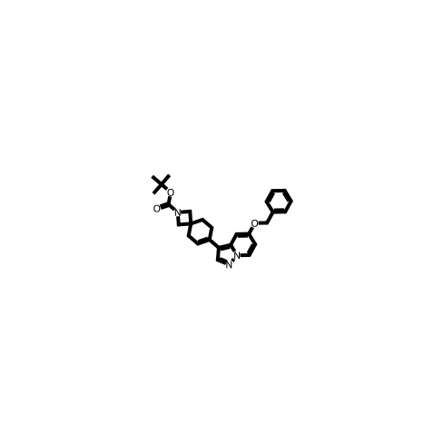 CC(C)(C)OC(=O)N1CC2(CC=C(c3cnn4ccc(OCc5ccccc5)cc34)CC2)C1